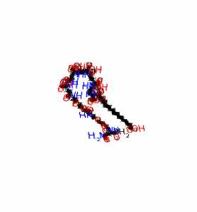 BC(=O)[C@H](CCC(N)=O)NC(=O)COCCOCCNC(=O)COCCOCCNC(=O)CC[C@@H](NC(=O)CC[C@H](NC(=O)CC[C@@H](NC(=O)CC[C@H](NC(=O)CC[C@@H](NC(=O)CCCCCCCCCCCCCCCCC(=O)O)C(=O)O)C(=O)O)C(=O)O)C(=O)O)C(=O)O